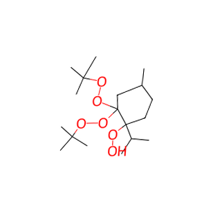 CC1CCC(OO)(C(C)C)C(OOC(C)(C)C)(OOC(C)(C)C)C1